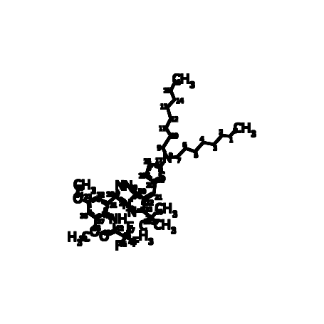 CCCCCCCCN(CCCCCCCC)c1ccc(/C=c2/c(C(C)(C)C)nn3c(-c4cc(OC)cc(OC)c4NC(=O)C(F)(F)F)nnc23)s1